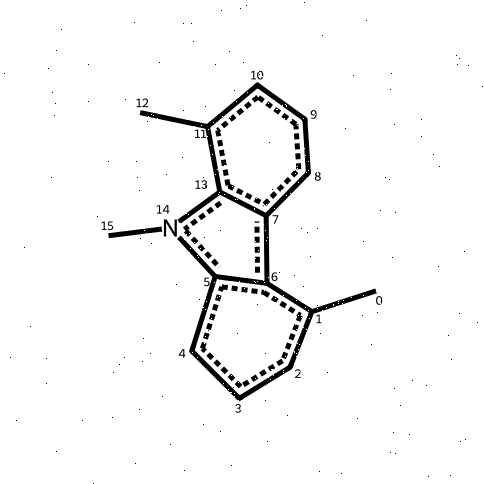 Cc1cccc2c1c1cccc(C)c1n2C